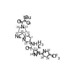 Cc1c(C(=O)Nc2ccc(C3(C#N)CCN(C(=O)C(=O)C(C)(C)C)CC3)nc2)cnn1-c1ccc(C(F)(F)F)cn1